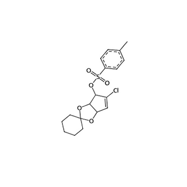 Cc1ccc(S(=O)(=O)OC2C(Cl)=CC3OC4(CCCCC4)OC32)cc1